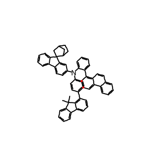 CC1(C)c2ccccc2-c2cccc(-c3ccc(N(c4ccc5c(c4)C4(CC6CCC4C6)c4ccccc4-5)c4ccccc4-c4cccc5c4ccc4ccccc45)cc3)c21